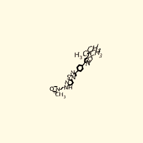 C[C@H]1COCCN1CCNc1ccc2c(n1)sc1nc(-c3ccc(-c4cc(C(C)(C)C)on4)cc3)cn12